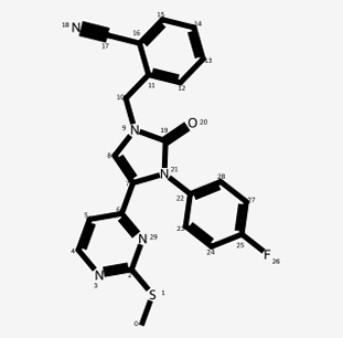 CSc1nccc(-c2cn(Cc3ccccc3C#N)c(=O)n2-c2ccc(F)cc2)n1